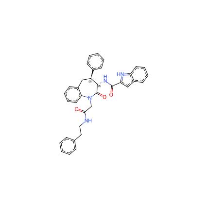 O=C(CN1C(=O)[C@@H](NC(=O)c2cc3ccccc3[nH]2)[C@H](c2ccccc2)Cc2ccccc21)NCCc1ccccc1